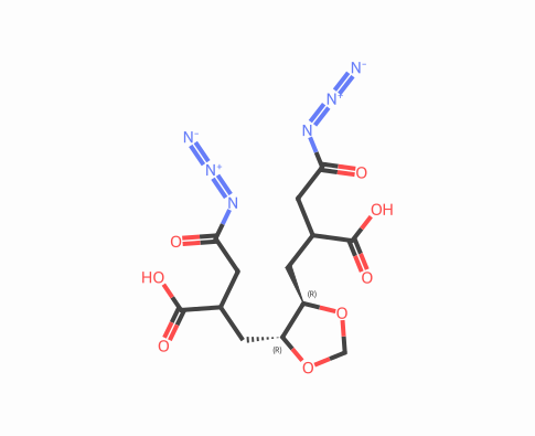 [N-]=[N+]=NC(=O)CC(C[C@H]1OCO[C@@H]1CC(CC(=O)N=[N+]=[N-])C(=O)O)C(=O)O